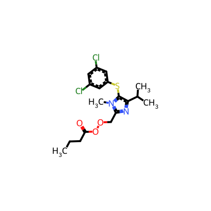 CCCC(=O)OOCc1nc(C(C)C)c(Sc2cc(Cl)cc(Cl)c2)n1C